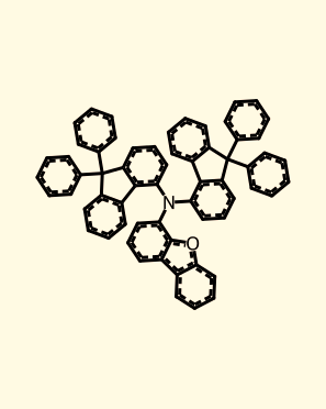 c1ccc(C2(c3ccccc3)c3ccccc3-c3c(N(c4cccc5c4-c4ccccc4C5(c4ccccc4)c4ccccc4)c4cccc5c4oc4ccccc45)cccc32)cc1